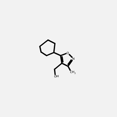 Cc1noc(C2CCCCC2)c1CO